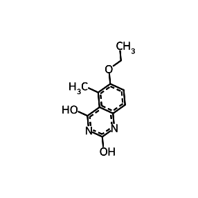 CCOc1ccc2nc(O)nc(O)c2c1C